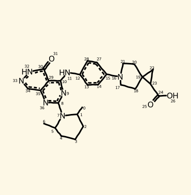 CC1CCCC(C)N1c1nc(Nc2ccc(N3CCC4(CC3)CC4C(=O)O)cc2)c2c(=O)[nH]ncc2n1